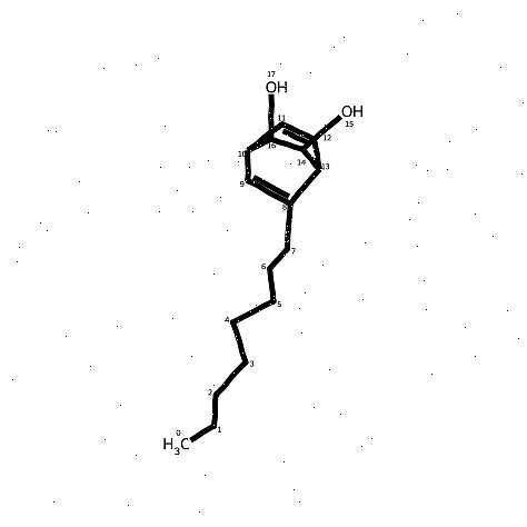 CCCCCCCCC1=CC2C=CC1C(O)C2O